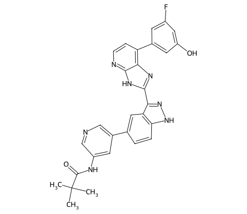 CC(C)(C)C(=O)Nc1cncc(-c2ccc3[nH]nc(-c4nc5c(-c6cc(O)cc(F)c6)ccnc5[nH]4)c3c2)c1